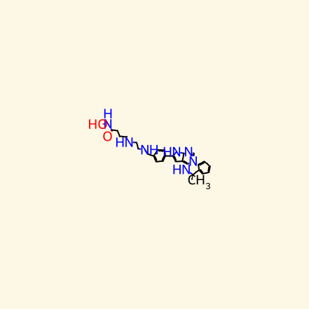 C[C@@H](Nc1ncnc2[nH]c(-c3ccc(CNCCNCCCC(=O)NO)cc3)cc12)c1ccccc1